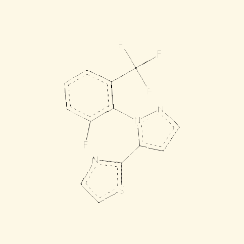 Fc1cccc(C(F)(F)F)c1-n1nccc1-c1nccs1